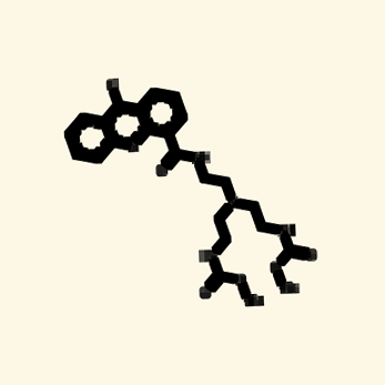 CC(C)(C)OC(=O)NCCN(CCNC(=O)OC(C)(C)C)CCNC(=O)c1cccc2c(Cl)c3ccccc3nc12